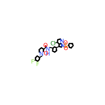 O=C(NCc1cccc(-c2cn(S(=O)(=O)c3ccccc3)c3nccc(Cl)c23)c1)c1cccn(Cc2ccc(F)c(F)c2)c1=O